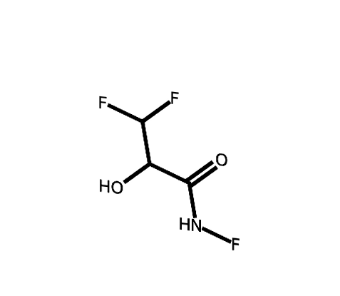 O=C(NF)C(O)C(F)F